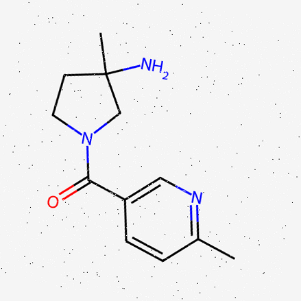 Cc1ccc(C(=O)N2CCC(C)(N)C2)cn1